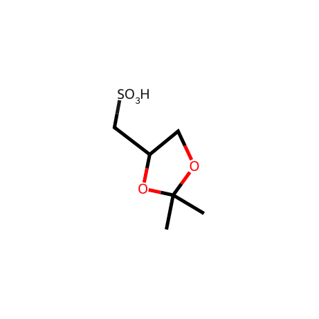 CC1(C)OCC(CS(=O)(=O)O)O1